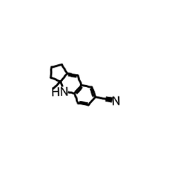 CC12CCCC1=Cc1cc(C#N)ccc1N2